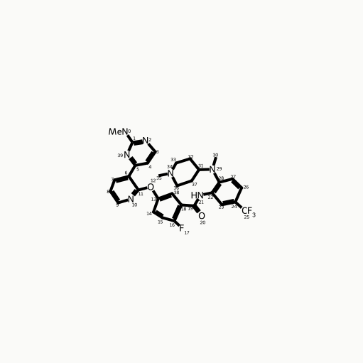 CNc1nccc(-c2cccnc2Oc2ccc(F)c(C(=O)Nc3cc(C(F)(F)F)ccc3N(C)C3CCN(C)CC3)c2)n1